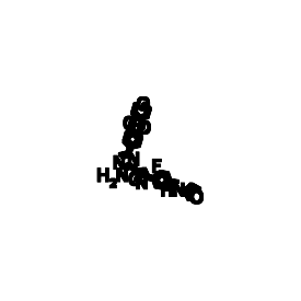 Nc1ncc(-c2ccc(S(=O)(=O)C3CCOCC3)cc2)nc1-c1cc(-c2ccc(CN[C@H]3CCOC3)cc2F)no1